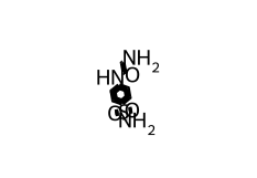 NCC(=O)Nc1ccc(S(N)(=O)=O)cc1